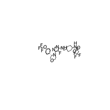 O=S(=O)(CC(F)(F)F)NC1CCC(CNc2ncnc(N3CCOC[C@@H]3c3ccc(OC(F)(F)F)cc3)c2F)CC1